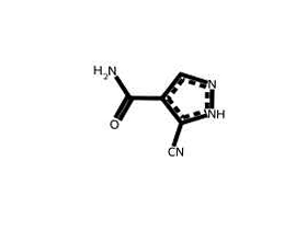 N#Cc1[nH]ncc1C(N)=O